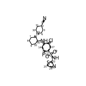 N#CC1CCN([C@H]2CCCC[C@@H]2Nc2cc(F)c(S(=O)(=O)Nc3nccs3)cc2Cl)CC1